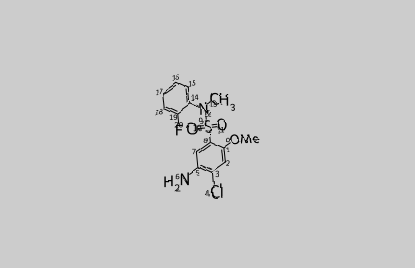 COc1cc(Cl)c(N)cc1S(=O)(=O)N(C)c1ccccc1F